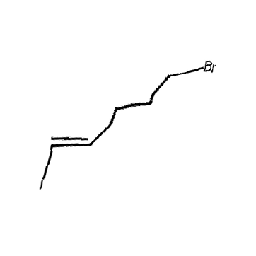 BrCCCC=CI